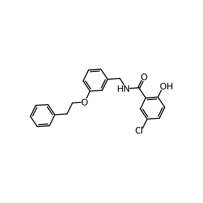 O=C(NCc1cccc(OCCc2ccccc2)c1)c1cc(Cl)ccc1O